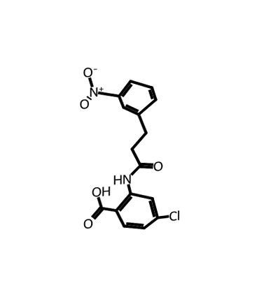 O=C(CCc1cccc([N+](=O)[O-])c1)Nc1cc(Cl)ccc1C(=O)O